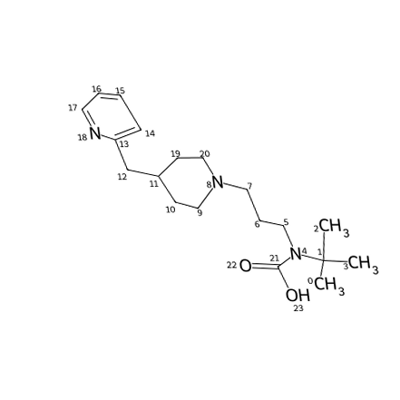 CC(C)(C)N(CCCN1CCC(Cc2ccccn2)CC1)C(=O)O